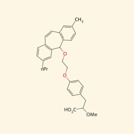 CCCc1ccc2c(c1)C(OCCOc1ccc(CC(OC)C(=O)O)cc1)c1ccc(C)cc1C=C2